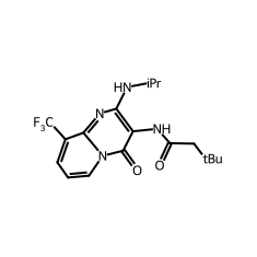 CC(C)Nc1nc2c(C(F)(F)F)cccn2c(=O)c1NC(=O)CC(C)(C)C